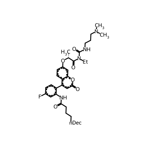 CCCCCCCCCCCCCC(=O)Nc1cc(F)ccc1-c1cc(=O)oc2cc(O[C@H](C)C(=O)N(CC)C(=O)NCCCN(C)C)ccc12